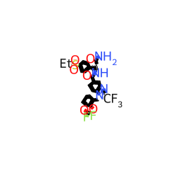 CCS(=O)(=O)c1ccc([C@H](CC(N)=O)NC(=O)c2ccc3c(c2)nc(C(F)(F)F)n3Cc2cccc3c2OC(F)(F)O3)cc1